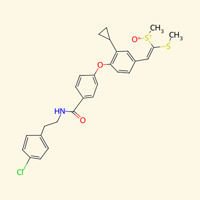 CS/C(=C/c1ccc(Oc2ccc(C(=O)NCCc3ccc(Cl)cc3)cc2)c(C2CC2)c1)[S+](C)[O-]